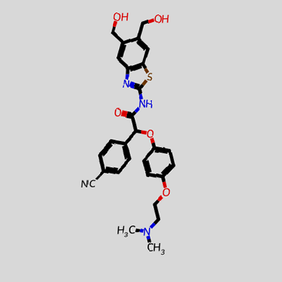 CN(C)CCOc1ccc(OC(C(=O)Nc2nc3cc(CO)c(CO)cc3s2)c2ccc(C#N)cc2)cc1